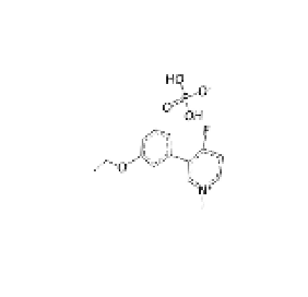 CCOc1cccc(-c2c[n+](C)ccc2F)c1.O=P([O-])(O)O